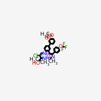 Cc1nc(-c2ccc(OC(F)(F)F)cc2)c(-c2cc(-c3cccc(S(C)(=O)=O)c3)ccc2N/C=C(/Cl)C(=N)C(C)(C)O)o1